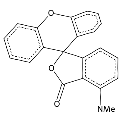 CNc1cccc2c1C(=O)OC21c2ccccc2Oc2ccccc21